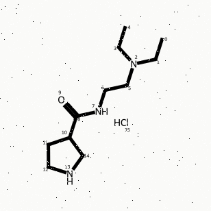 CCN(CC)CCNC(=O)C1CCNC1.Cl